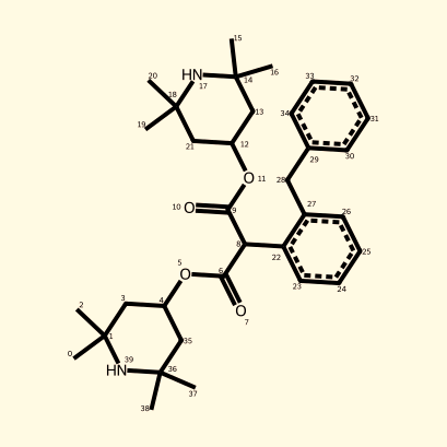 CC1(C)CC(OC(=O)C(C(=O)OC2CC(C)(C)NC(C)(C)C2)c2ccccc2Cc2ccccc2)CC(C)(C)N1